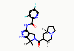 CCC1(C)c2[nH]nc(NC(=O)c3ncc(F)cc3F)c2CN1C(=O)C1C[C@@H]2CCCN2C[C@@H]1C